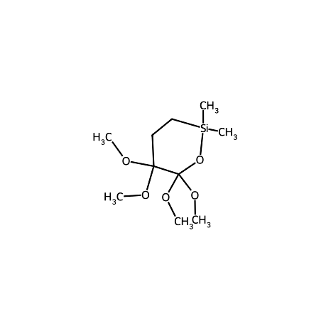 COC1(OC)CC[Si](C)(C)OC1(OC)OC